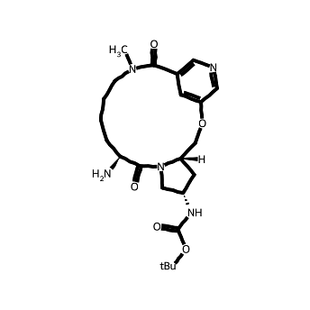 CN1CCCC[C@H](N)C(=O)N2C[C@@H](NC(=O)OC(C)(C)C)C[C@H]2COc2cncc(c2)C1=O